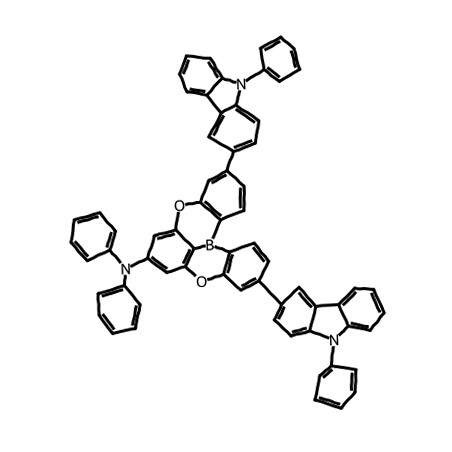 c1ccc(N(c2ccccc2)c2cc3c4c(c2)Oc2cc(-c5ccc6c(c5)c5ccccc5n6-c5ccccc5)ccc2B4c2ccc(-c4ccc5c(c4)c4ccccc4n5-c4ccccc4)cc2O3)cc1